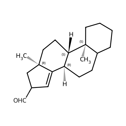 C[C@]12CC[C@H]3[C@@H](CCC4CCCC[C@@]43C)C1=CC(C=O)C2